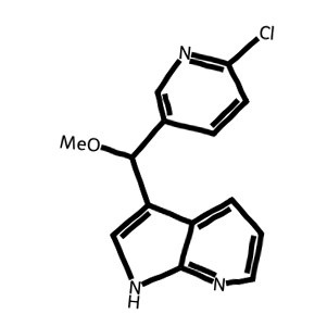 COC(c1ccc(Cl)nc1)c1c[nH]c2ncccc12